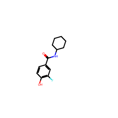 O=C(NC1CCCCC1)c1ccc(O)c(F)c1